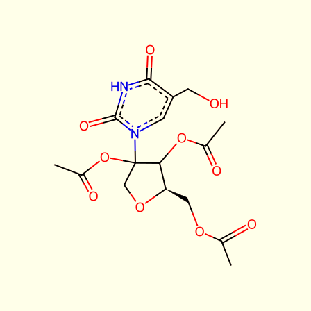 CC(=O)OC[C@H]1OCC(OC(C)=O)(n2cc(CO)c(=O)[nH]c2=O)C1OC(C)=O